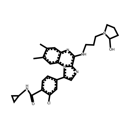 Cc1cc2nc(NCCCN3CCCC3O)c3ncc(-c4ccc(C(=O)NC5CC5)c(Cl)c4)n3c2cc1C